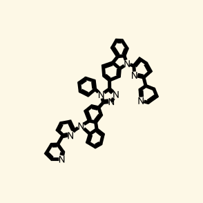 C1=CN=CC(c2cccc(-n3c4ccccc4c4ccc(-c5nnc(-c6ccc7c(c6)c6ccccc6n7-c6cccc(-c7cccnc7)n6)n5-c5ccccc5)cc43)n2)C1